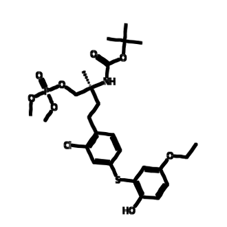 CCOc1ccc(O)c(Sc2ccc(CC[C@@](C)(COP(=O)(OC)OC)NC(=O)OC(C)(C)C)c(Cl)c2)c1